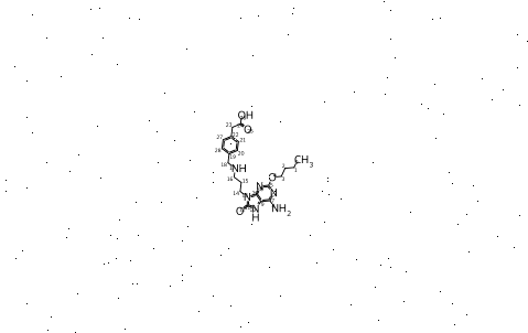 CCCCOc1nc(N)c2[nH]c(=O)n(CCCNCc3ccc(CC(=O)O)cc3)c2n1